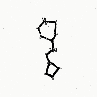 C1CC(CNC2CCNCC2)C1